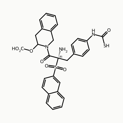 N[C@@](Cc1ccc(NC(=O)S)cc1)(C(=O)N1Cc2ccccc2CC1OC(=O)O)S(=O)(=O)c1ccc2ccccc2c1